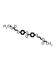 C=COC(=O)CCOc1ccc(OC(=O)c2ccc(OCCCOC(=O)C=C)cc2)cc1